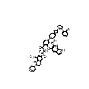 CCOc1nc2[nH]ccc2cc1Oc1cc(N2CCC3(CC2)CC(N2CCC[C@H]2c2ccccc2C(C)C)C3)ccc1C(=O)NS(=O)(=O)c1cc2c(c([N+](=O)[O-])c1)N[C@@H](C1CCOCC1)CO2